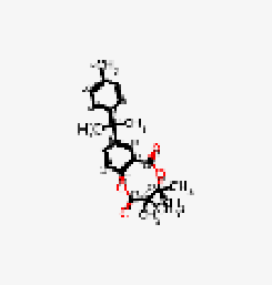 Cc1ccc(C(C)(C)c2ccc3c(c2)C(=O)OC(C)(C)C(C)(C)C(=O)O3)cc1